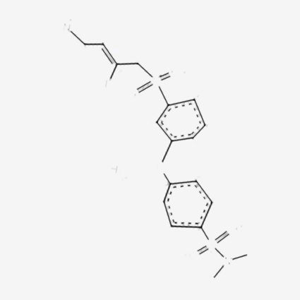 CN(C)S(=O)(=O)c1ccc(Oc2cccc(S(=O)(=O)C/C(F)=C/CN)c2)cc1.Cl